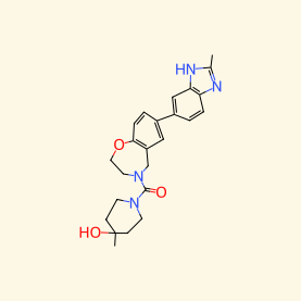 Cc1nc2ccc(-c3ccc4c(c3)CN(C(=O)N3CCC(C)(O)CC3)CCO4)cc2[nH]1